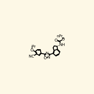 CCCOC(=O)N[C@H]1CCc2c(-c3noc(-c4ccc(OC(C)C)c(C#N)c4)n3)cccc21